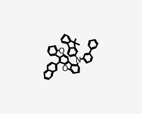 CC1(C)c2ccccc2-c2ccc(N(c3cccc(-c4ccccc4)c3)c3cccc4oc5c(-c6ccc7ccccc7c6)c6c(cc5c34)oc3ccccc36)cc21